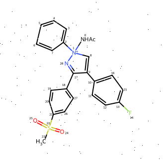 CC(=O)N[N+]1(c2ccccc2)C=C(c2ccc(F)cc2)C(c2ccc(S(C)(=O)=O)cc2)=N1